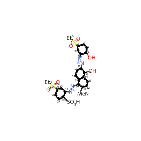 CCS(=O)(=O)c1ccc(O)c(/N=N/c2ccc3c(/N=N/c4cc(S(=O)(=O)CC)ccc4S(=O)(=O)O)c(NC)ccc3c2O)c1